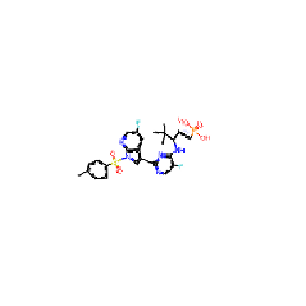 Cc1ccc(S(=O)(=O)n2cc(-c3ncc(F)c(NC(/C=C/P(=O)(O)O)C(C)(C)C)n3)c3cc(F)cnc32)cc1